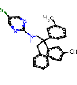 Cc1cccc(C(CNc2ncc(Br)cn2)(Cc2ccccc2)c2cccc(C)c2)c1